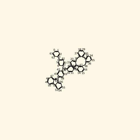 c1ccc(-c2ccc(N(c3ccc(-c4cccc5c4-c4ccccc4Cc4ccccc4-c4ccccc4C5)cc3)c3ccc(-n4c5ccccc5c5ccccc54)cc3)cc2)cc1